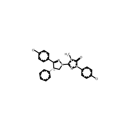 Cn1c(N2C[C@H](c3ccccc3)C(c3ccc(Cl)cc3)=N2)nn(-c2ccc(Cl)cc2)c1=O